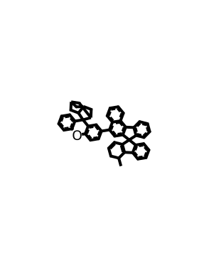 CC1CC=CC2=C1c1ccccc1C21c2ccccc2-c2c1cc(-c1ccc3c(c1)C1(c4ccccc4O3)C3CC4CC(C3)C1C4)c1ccccc21